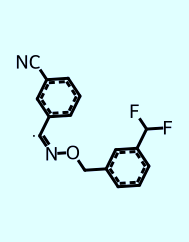 N#Cc1cccc(/[C]=N\OCc2cccc(C(F)F)c2)c1